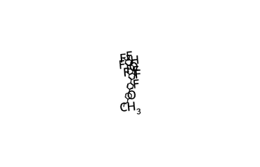 [2H]c1c(OC(F)(F)c2c(F)cc(-c3ccc(C4CCC(CCC)CO4)cc3F)cc2F)cc(F)c(F)c1F